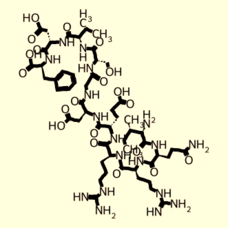 CC[C@H](C)[C@H](N)C(=O)N[C@@H](CCC(N)=O)C(=O)N[C@@H](CCCNC(=N)N)C(=O)N[C@@H](CCCNC(=N)N)C(=O)N[C@@H](CCC(=O)O)C(=O)N[C@@H](CC(=O)O)C(=O)NCC(=O)N[C@@H](CO)C(=O)N[C@H](C(=O)N[C@@H](CC(=O)O)C(=O)N[C@@H](Cc1ccccc1)C(=O)O)C(C)C